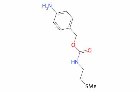 CSCCNC(=O)OCc1ccc(N)cc1